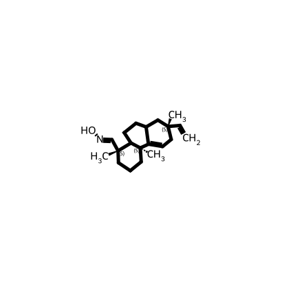 C=C[C@]1(C)CC=C2C(CCC3[C@@](C)(C=NO)CCC[C@]23C)C1